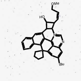 COC/C=C\C1C(O)C2c3cc4ccccc4c4c3-c3c5c(cc(C(C)(C)C)cc5nc[n+]3C12)C41CCCC1